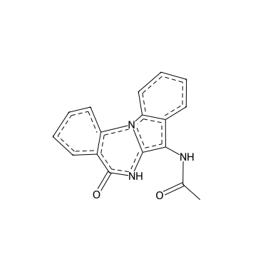 CC(=O)Nc1c2ccccc2n2c1[nH]c(=O)c1ccccc12